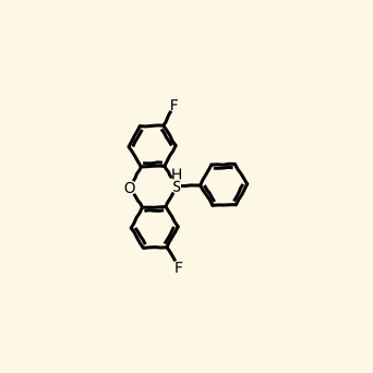 Fc1ccc2c(c1)[SH](c1ccccc1)c1cc(F)ccc1O2